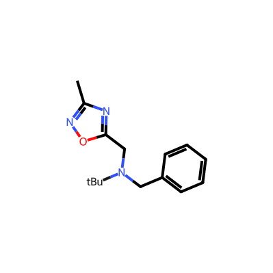 Cc1noc(CN(Cc2ccccc2)C(C)(C)C)n1